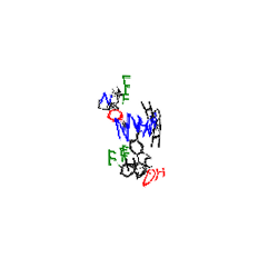 C=Cc1cc2c(N3C[C@H]4CC[C@@H](C3)N4)nc(OC[C@@]34CCCN3C[C@@]3(CC3(F)F)C4)nc2c(F)c1-c1cc(O)cc2ccc(F)c(F)c12